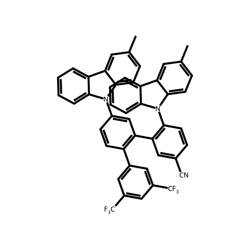 Cc1ccc2c(c1)c1ccccc1n2-c1ccc(-c2cc(C(F)(F)F)cc(C(F)(F)F)c2)c(-c2cc(C#N)ccc2-n2c3ccccc3c3cc(C)ccc32)c1